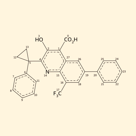 O=C(O)c1c(O)c(C2(c3ccccc3)CC2)nc2c(C(F)(F)F)cc(-c3ccccc3)cc12